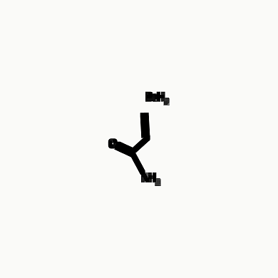 C=CC(N)=O.[BeH2]